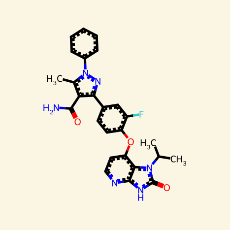 Cc1c(C(N)=O)c(-c2ccc(Oc3ccnc4[nH]c(=O)n(C(C)C)c34)c(F)c2)nn1-c1ccccc1